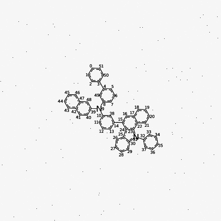 c1ccc(-c2cccc(N(c3cccc(-c4cc5ccccc5c5c4c4ccccc4n5-c4ccccc4)c3)c3ccc4ccccc4c3)c2)cc1